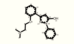 CN(C)CCOc1ccccc1-c1cc(O)n(-c2ccccc2)n1